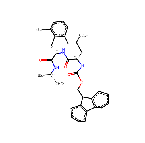 Cc1cccc(C(C)(C)C)c1C[C@H](NC(=O)[C@H](CCC(=O)O)NC(=O)OCC1c2ccccc2-c2ccccc21)C(=O)N[C@H]([C]=O)C(C)(C)C